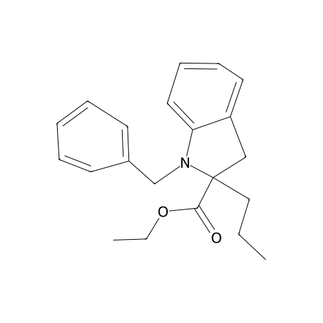 CCCC1(C(=O)OCC)Cc2ccccc2N1Cc1ccccc1